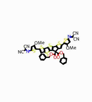 COc1cc(N=C(C#N)C#N)sc1-c1cc2c(s1)-c1sc3c(sc4cc(-c5sc(N=C(C#N)C#N)cc5OC)sc43)c1C2(C(=O)OCc1ccccc1)C(=O)OCc1ccccc1